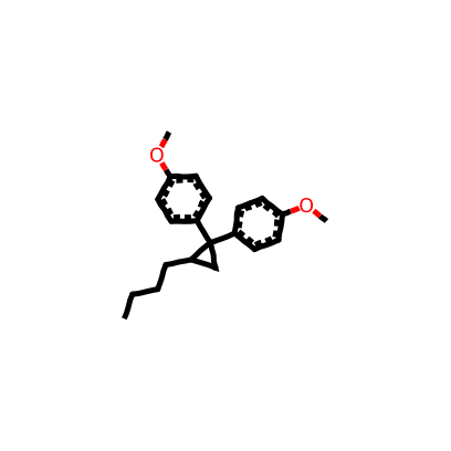 CCCCC1CC1(c1ccc(OC)cc1)c1ccc(OC)cc1